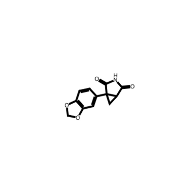 O=C1NC(=O)C2(c3ccc4c(c3)OCO4)CC12